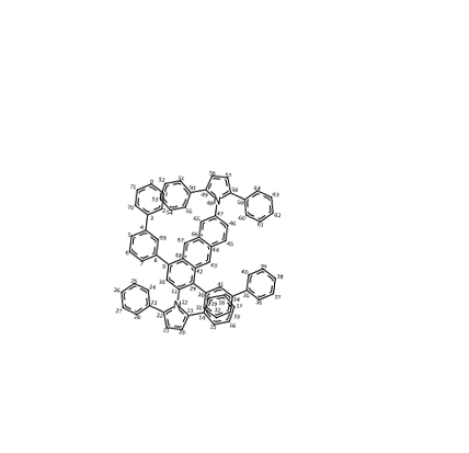 c1ccc(-c2cccc(-c3cc(-n4c(-c5ccccc5)ccc4-c4ccccc4)c(-c4cccc(-c5ccccc5)c4)c4cc5ccc(-n6c(-c7ccccc7)ccc6-c6ccccc6)cc5cc34)c2)cc1